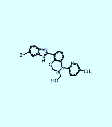 Cc1ccc(N2c3cccc(-c4nc5ccc(Br)cc5[nH]4)c3OC[C@@H]2CO)nc1